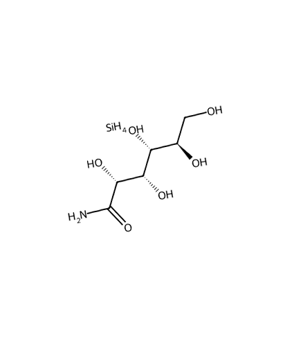 NC(=O)[C@H](O)[C@@H](O)[C@H](O)[C@H](O)CO.[SiH4]